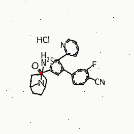 Cl.N#Cc1ccc(-c2cc(C(=O)N3C4CCC3CC(N)C4)sc2-c2ccccn2)cc1F